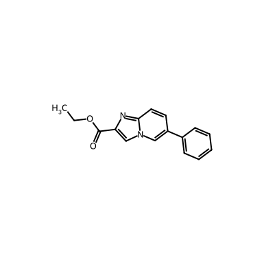 CCOC(=O)c1cn2cc(-c3ccccc3)ccc2n1